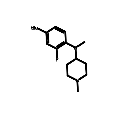 CN1CCC(N(C)c2ccc(C(C)(C)C)cc2F)CC1